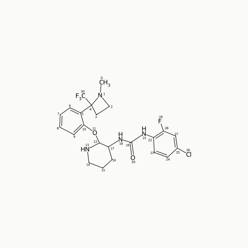 CN1CCC1(c1ccccc1OC1NCCCC1NC(=O)Nc1ccc(Cl)cc1F)C(F)(F)F